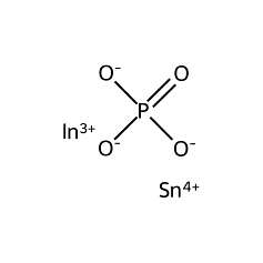 O=P([O-])([O-])[O-].[In+3].[Sn+4]